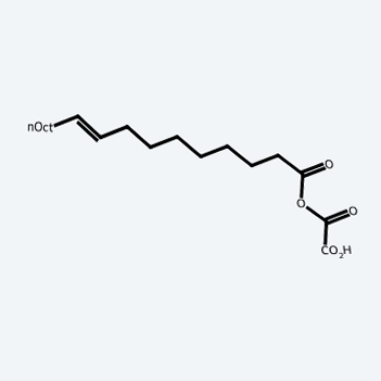 CCCCCCCCC=CCCCCCCCC(=O)OC(=O)C(=O)O